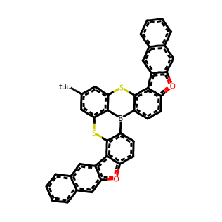 CC(C)(C)c1cc2c3c(c1)Sc1c(ccc4oc5cc6ccccc6cc5c14)B3c1ccc3oc4cc5ccccc5cc4c3c1S2